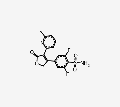 Cc1cccc(C2=C(c3cc(F)c(S(N)(=O)=O)c(F)c3)COC2=O)n1